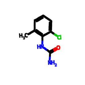 Cc1cccc(Cl)c1NC(N)=O